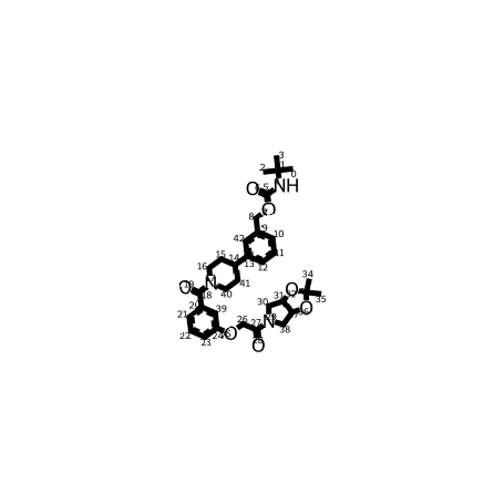 CC(C)(C)NC(=O)OCc1cccc(C2CCN(C(=O)c3cccc(OCC(=O)N4CC5OC(C)(C)OC5C4)c3)CC2)c1